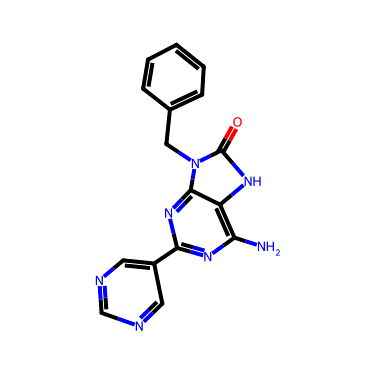 Nc1nc(-c2cncnc2)nc2c1[nH]c(=O)n2Cc1ccccc1